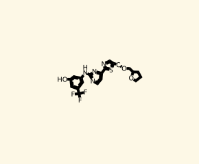 Oc1cc(Nc2nccc(-c3ncc(COCC4CCCO4)s3)n2)cc(C(F)(F)F)c1